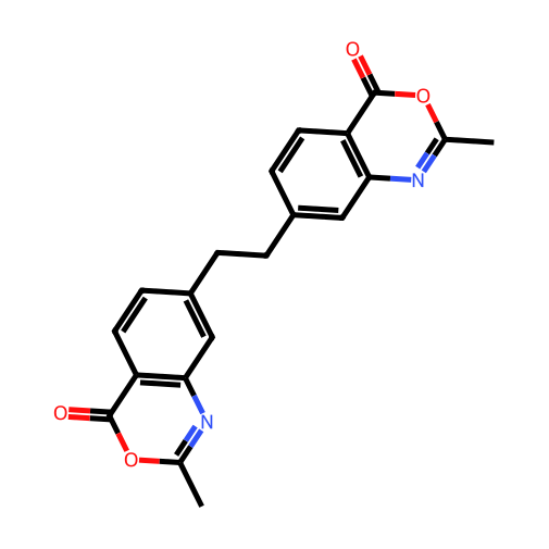 Cc1nc2cc(CCc3ccc4c(=O)oc(C)nc4c3)ccc2c(=O)o1